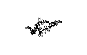 CCCCOC(=O)C1(O/N=C(\C(=O)N[C@@H]2C(=O)N[C@@H]2CNC(=O)C(=O)NCc2cc(=O)c(OCCCC)cn2OCCCC)c2csc(NC(=O)OC(C)(C)C)n2)CCC1